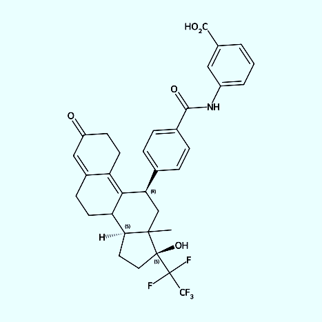 CC12C[C@H](c3ccc(C(=O)Nc4cccc(C(=O)O)c4)cc3)C3=C4CCC(=O)C=C4CCC3[C@@H]1CC[C@@]2(O)C(F)(F)C(F)(F)F